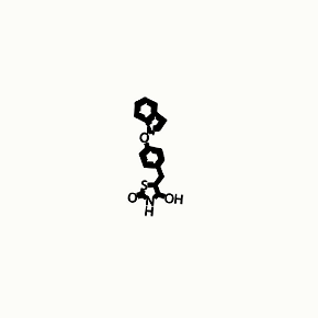 O=C1NC(O)C(Cc2ccc(On3ccc4ccccc43)cc2)S1